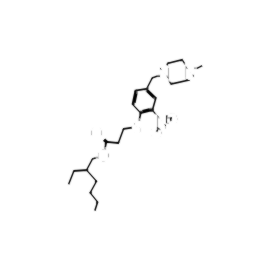 CCCCC(CC)COC(=O)CCSc1ccc(CN2CCN(C)CC2)cc1[N+](=O)[O-]